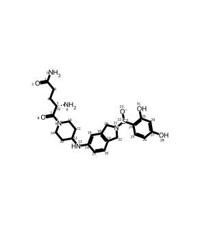 NC(=O)CC[C@H](N)C(=O)N1CCC(Nc2ccc3c(c2)CN([S+]([O-])c2ccc(O)cc2O)C3)CC1